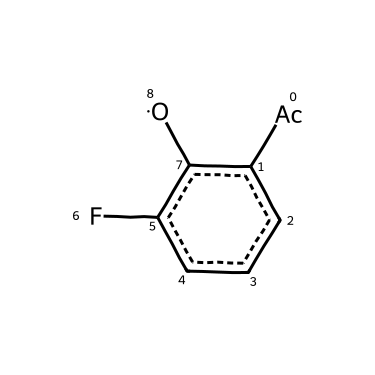 CC(=O)c1cccc(F)c1[O]